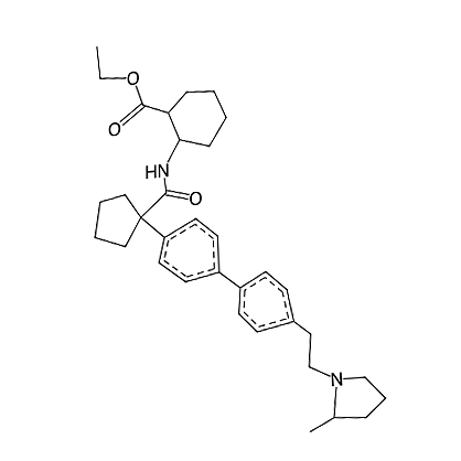 CCOC(=O)C1CCCCC1NC(=O)C1(c2ccc(-c3ccc(CCN4CCCC4C)cc3)cc2)CCCC1